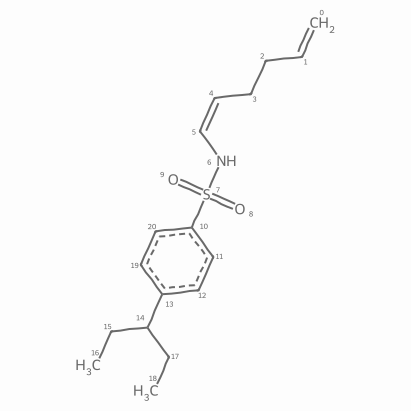 C=CCC/C=C\NS(=O)(=O)c1ccc(C(CC)CC)cc1